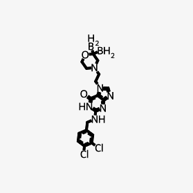 BC1(B)CN(CCn2cnc3nc(NCc4ccc(Cl)c(Cl)c4)[nH]c(=O)c32)CCO1